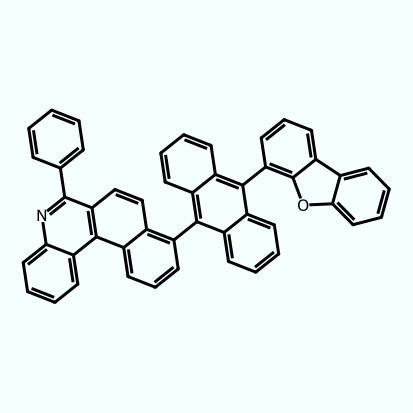 c1ccc(-c2nc3ccccc3c3c2ccc2c(-c4c5ccccc5c(-c5cccc6c5oc5ccccc56)c5ccccc45)cccc23)cc1